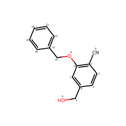 N#Cc1ccc(CO)cc1OCc1ccccc1